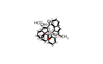 CCC1=Cc2ccccc2[CH]1[Zr](=[SiH2])([c]1ccccc1)([c]1ccccc1)[CH]1C(CC)=Cc2ccccc21.Cl.Cl